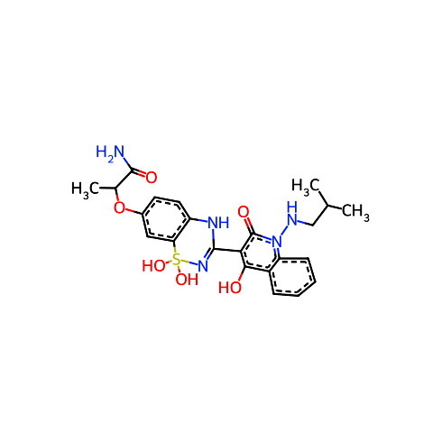 CC(C)CNn1c(=O)c(C2=NS(O)(O)c3cc(OC(C)C(N)=O)ccc3N2)c(O)c2ccccc21